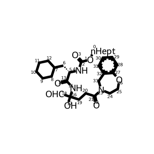 CCCCCCCOC(=O)N[C@@H](CC1CCCCC1)C(=O)NC(O)(C=O)CCC(=O)N1CCOc2ccccc2C1